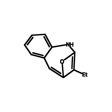 CCC1=C2Nc3ccccc3C=C1O2